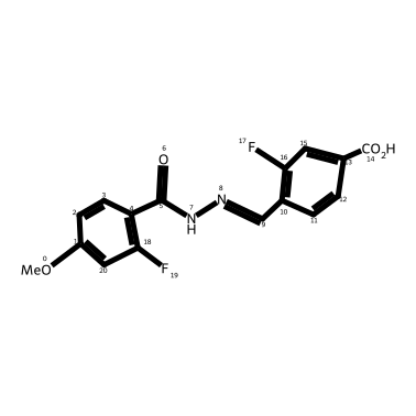 COc1ccc(C(=O)N/N=C/c2ccc(C(=O)O)cc2F)c(F)c1